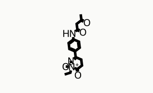 CC[N+]1([O-])N=C(c2ccc(NC(=O)CC(C)=O)cc2)CCC1=O